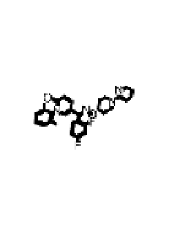 Cc1cccc(C)c1-n1cc(C(=NOC2CCN(c3ccccn3)CC2)c2ccc(F)cc2F)ccc1=O